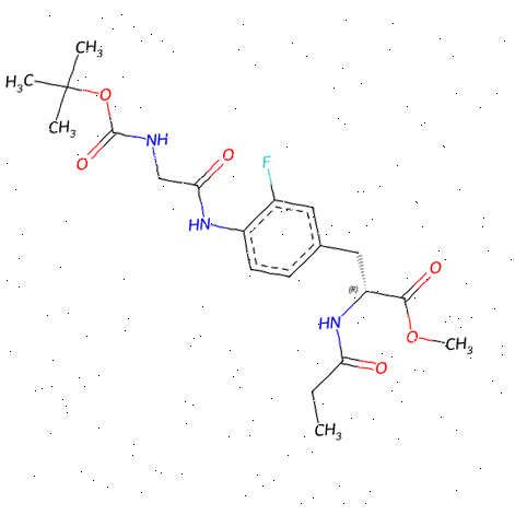 CCC(=O)N[C@H](Cc1ccc(NC(=O)CNC(=O)OC(C)(C)C)c(F)c1)C(=O)OC